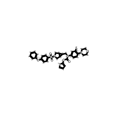 O=C(Oc1cccs1)N(CC1C2CN(S(=O)(=O)c3ccc(Oc4ccccc4)cc3)CC12)c1ccc(N2CCOCC2)c(F)c1